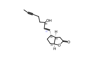 CC#CCC[C@@H](O)/C=C/[C@H]1CC[C@@H]2OC(=O)C[C@@H]21